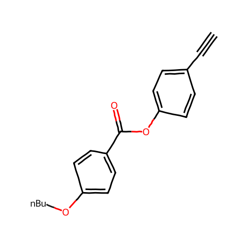 C#Cc1ccc(OC(=O)c2ccc(OCCCC)cc2)cc1